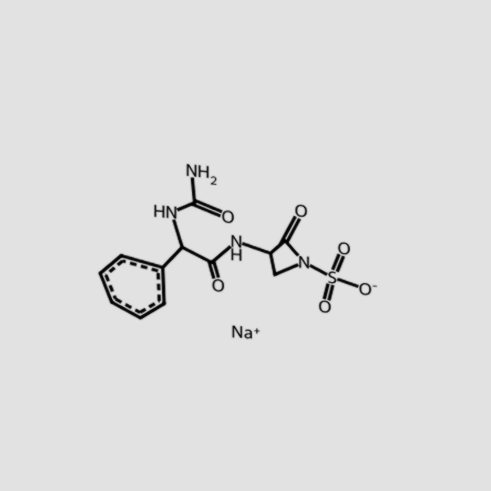 NC(=O)NC(C(=O)NC1CN(S(=O)(=O)[O-])C1=O)c1ccccc1.[Na+]